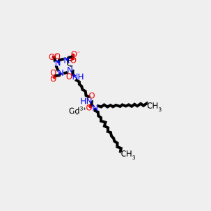 CCCCCCCCCCCCCCCCCCN(CCCCCCCCCCCCCCCCCC)C(=O)CNC(=O)CCCCCCCNC(=O)CN1CCN(CC(=O)[O-])CCN(CC(=O)[O-])CCN(CC(=O)[O-])CC1.[Gd+3]